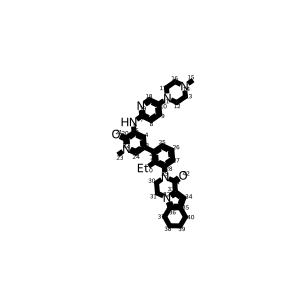 CCc1c(-c2cc(Nc3ccc(N4CCN(C)CC4)cn3)c(=O)n(C)c2)cccc1N1CCn2c(cc3c2CCCC3)C1=O